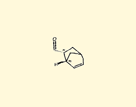 O=C[C@@H]1CC2C=C[C@H]1C2